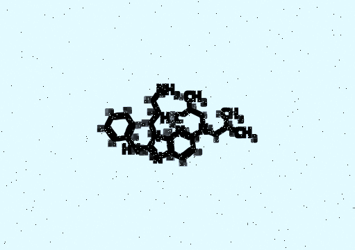 CC(C)CN(CC(C)C)c1ccc2nc(Nc3ccccc3)n(CCCN)c2n1